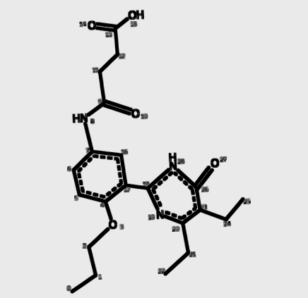 CCCOc1ccc(NC(=O)CCC(=O)O)cc1-c1nc(CC)c(CC)c(=O)[nH]1